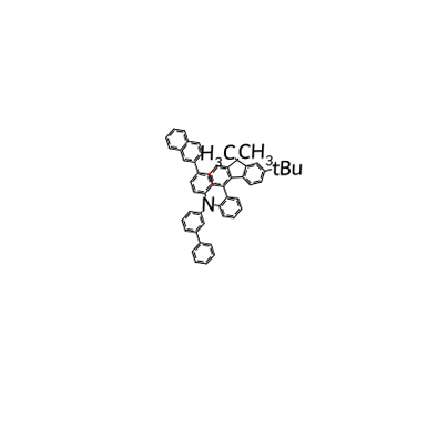 CC(C)(C)c1ccc2c(c1)C(C)(C)c1cccc(-c3ccccc3N(c3ccc(-c4ccc5ccccc5c4)cc3)c3cccc(-c4ccccc4)c3)c1-2